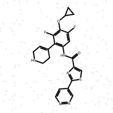 O=C(Nc1cc(F)c(OC2CC2)c(F)c1C1=CCNCC1)c1csc(-c2ccnnc2)n1